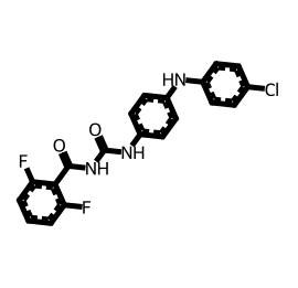 O=C(NC(=O)c1c(F)cccc1F)Nc1ccc(Nc2ccc(Cl)cc2)cc1